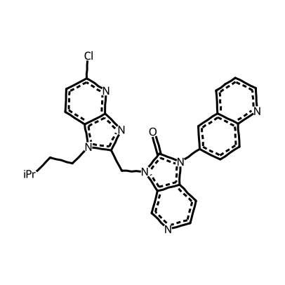 CC(C)CCn1c(Cn2c(=O)n(-c3ccc4ncccc4c3)c3ccncc32)nc2nc(Cl)ccc21